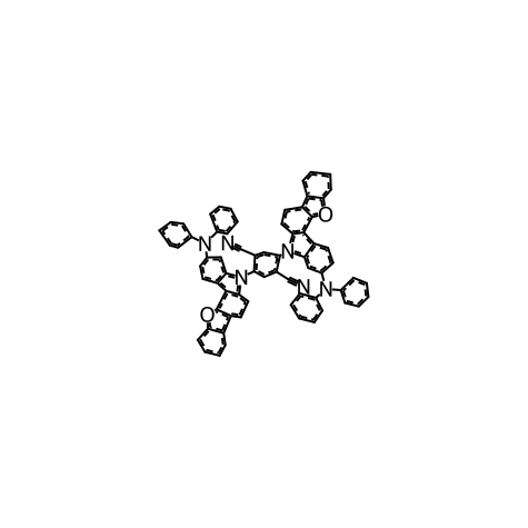 N#Cc1cc(-n2c3cc(N(c4ccccc4)c4ccccc4)ccc3c3c4oc5ccccc5c4ccc32)c(C#N)cc1-n1c2cc(N(c3ccccc3)c3ccccc3)ccc2c2c3oc4ccccc4c3ccc21